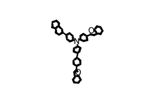 c1ccc2cc(-c3ccc(N(c4ccc(-c5ccc(-c6cc7ccccc7o6)cc5)cc4)c4ccc(-c5cc6ccccc6o5)cc4)cc3)ccc2c1